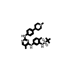 Cc1ccc(Nc2nc(Nc3ccc(C4CCN(C)CC4)cc3)ncc2C)cc1NS(=O)(=O)C(C)(C)C